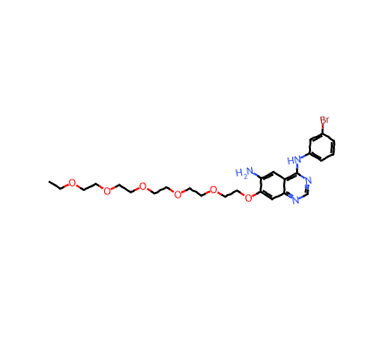 CCOCCOCCOCCOCCOCCOc1cc2ncnc(Nc3cccc(Br)c3)c2cc1N